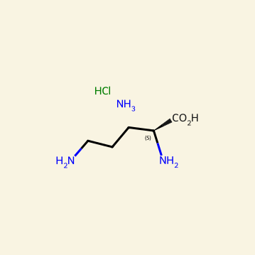 Cl.N.NCCC[C@H](N)C(=O)O